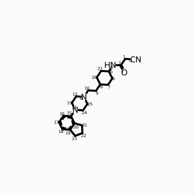 N#CCC(=O)NC1CCC(CCN2CCN(c3cccc4c3CCC4)CC2)CC1